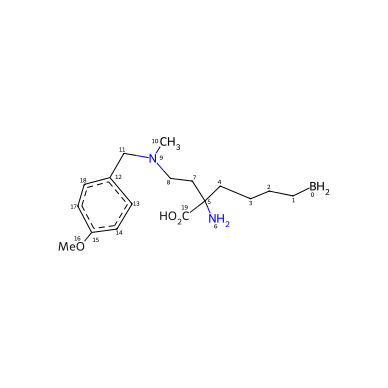 BCCCCC(N)(CCN(C)Cc1ccc(OC)cc1)C(=O)O